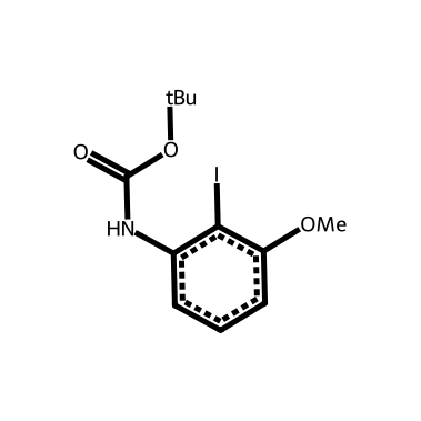 COc1cccc(NC(=O)OC(C)(C)C)c1I